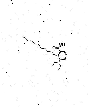 CCCCCCCCCCOc1c(C(=O)O)cccc1C(CC)CC